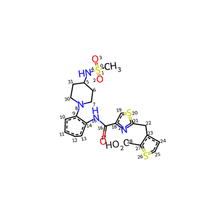 CS(=O)(=O)NC1CCN(c2ccccc2NC(=O)c2csc(Cc3ccsc3C(=O)O)n2)CC1